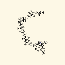 COc1ccc(C2=CN(C=O)C(/C=N\c3cc(OCCCOc4cc5c(cc4OC)C(=O)N4C=C(c6ccc(NC(=O)CNC(=O)C(NC(=O)CCCCCN7C(=O)CC(SCCC(=O)O)C7=O)C(C)C)cc6)CC4C=N5)c(OC)cc3C)C2)cc1